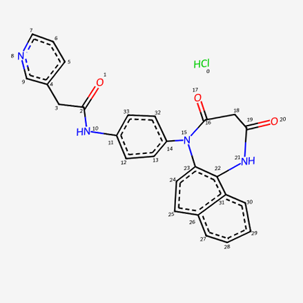 Cl.O=C(Cc1cccnc1)Nc1ccc(N2C(=O)CC(=O)Nc3c2ccc2ccccc32)cc1